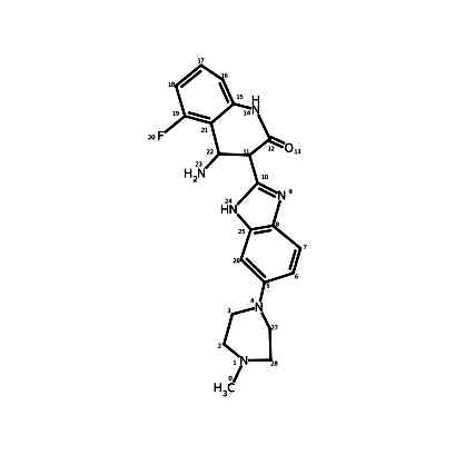 CN1CCN(c2ccc3nc(C4C(=O)Nc5cccc(F)c5C4N)[nH]c3c2)CC1